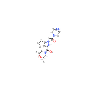 C[C@@H]1CN(C(=O)c2nn(CC(=O)N3CCNCC3)c3c2CCC3)C[C@H](C)O1